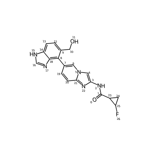 O=C(Nc1cn2cc(-c3c(CO)ccc4[nH]cnc34)ccc2n1)C1CC1F